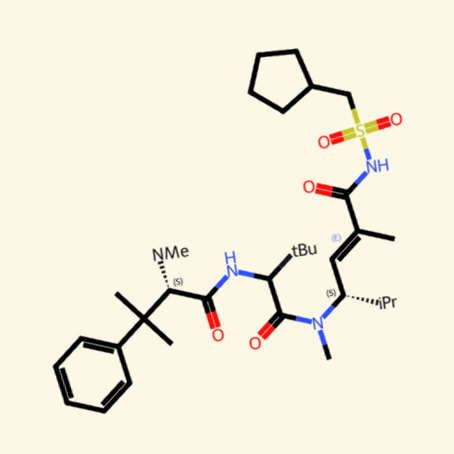 CN[C@H](C(=O)NC(C(=O)N(C)[C@H](/C=C(\C)C(=O)NS(=O)(=O)CC1CCCC1)C(C)C)C(C)(C)C)C(C)(C)c1ccccc1